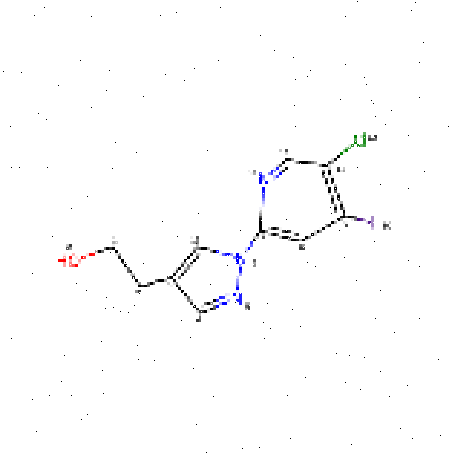 OCCc1cnn(-c2cc(I)c(Cl)cn2)c1